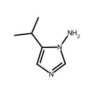 CC(C)c1cncn1N